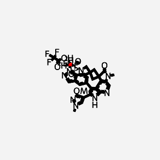 O=C(O)C(F)(F)F.[2H]C([2H])([2H])n1ncc2cc(-c3c(-c4cn(C)nc4OC)[nH]c4ncc5c(c34)C3(CC4(CN(S(=O)(=O)CC)C4)C3)C(=O)N5C)ccc21